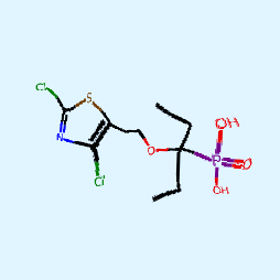 CCC(CC)(OCc1sc(Cl)nc1Cl)P(=O)(O)O